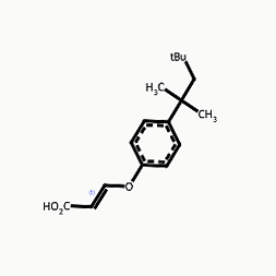 CC(C)(C)CC(C)(C)c1ccc(O/C=C/C(=O)O)cc1